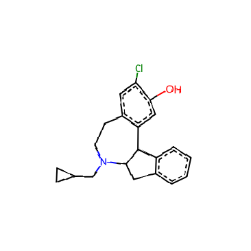 Oc1cc2c(cc1Cl)CCN(CC1CC1)C1Cc3ccccc3C21